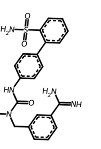 CCN(Cc1cccc(C(=N)N)c1)C(=O)Nc1ccc(-c2ccccc2S(N)(=O)=O)cc1